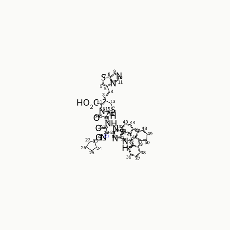 O=C(O)C1=C(C=Cc2csc3cncn23)CS[C@@H]2[C@H](NC(=O)/C(=N\OC3CCCC3)c3nsc(NC(c4ccccc4)(c4ccccc4)c4ccccc4)n3)C(=O)N12